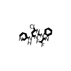 FC(F)c1nc2ccccc2n1-c1nc(Cl)cc(Nc2cccnc2)n1